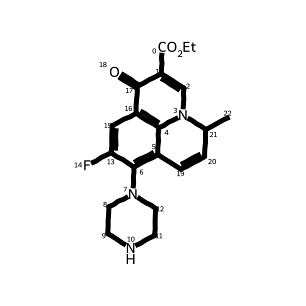 CCOC(=O)c1cn2c3c(c(N4CCNCC4)c(F)cc3c1=O)C=CC2C